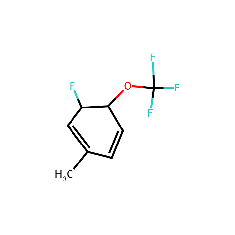 CC1=CC(F)C(OC(F)(F)F)C=C1